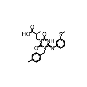 CSc1cccc(/N=c2\[nH]c(=O)n(C[C@H](C)C(=O)O)c(=O)n2Cc2ccc(C)cc2)c1